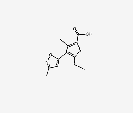 CSc1sc(C(=O)O)c(C)c1-c1cc(C)no1